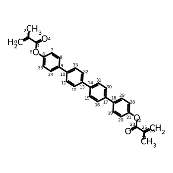 C=C(C)C(=O)Oc1ccc(-c2ccc(-c3ccc(-c4ccc(OC(=O)C(=C)C)cc4)cc3)cc2)cc1